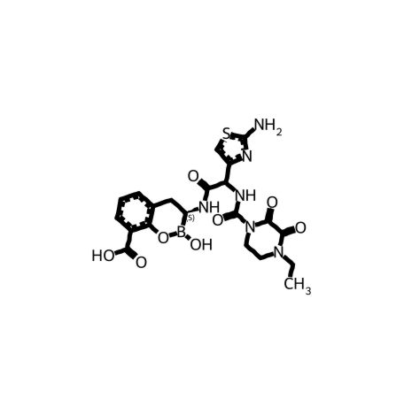 CCN1CCN(C(=O)NC(C(=O)N[C@@H]2Cc3cccc(C(=O)O)c3OB2O)c2csc(N)n2)C(=O)C1=O